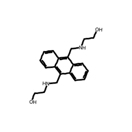 OCCNCc1c2ccccc2c(CNCCO)c2ccccc12